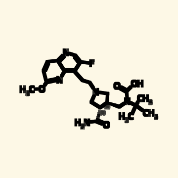 COc1ccc2ncc(F)c(CCN3C[C@@H](CN(C(=O)O)C(C)(C)C)[C@H](C(N)=O)C3)c2n1